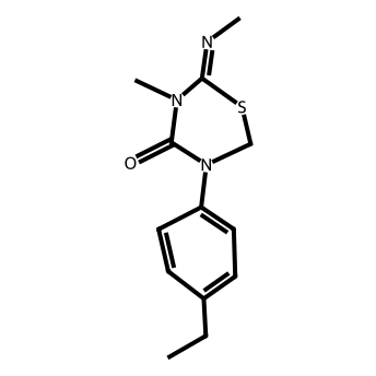 CCc1ccc(N2CS/C(=N\C)N(C)C2=O)cc1